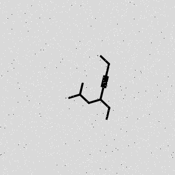 [CH2]CC#CC(CC)CC([CH2])C